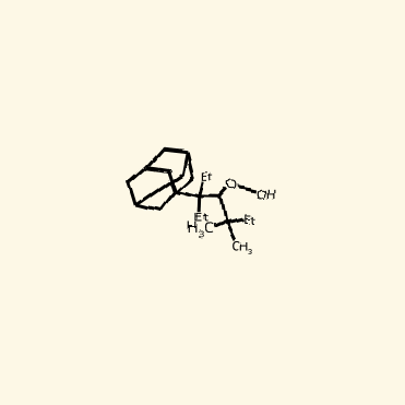 CCC(C)(C)C(OO)C(CC)(CC)C12CC3CC(CC(C3)C1)C2